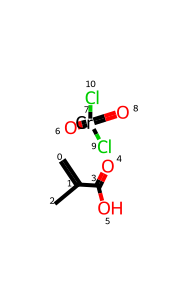 C=C(C)C(=O)O.[O]=[Cr](=[O])([Cl])[Cl]